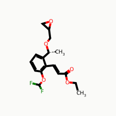 CCOC(=O)/C=C/c1c(OC(F)F)cccc1[C@@H](C)OCC1CO1